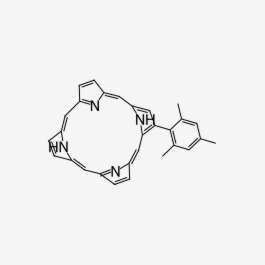 Cc1cc(C)c(-c2cc3cc4nc(cc5ccc(cc6nc(cc2[nH]3)C=C6)[nH]5)C=C4)c(C)c1